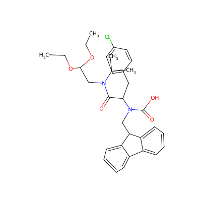 CCOC(CN(C(=O)C(Cc1ccc(Cl)cc1)N(CC1c2ccccc2-c2ccccc21)C(=O)O)C(C)C)OCC